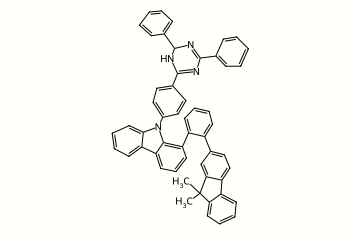 CC1(C)c2ccccc2-c2ccc(-c3ccccc3-c3cccc4c5ccccc5n(-c5ccc(C6=NC(c7ccccc7)=NC(c7ccccc7)N6)cc5)c34)cc21